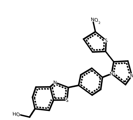 O=[N+]([O-])c1ccc(-c2cncn2-c2ccc(-c3nc4ccc(CO)cc4s3)cc2)s1